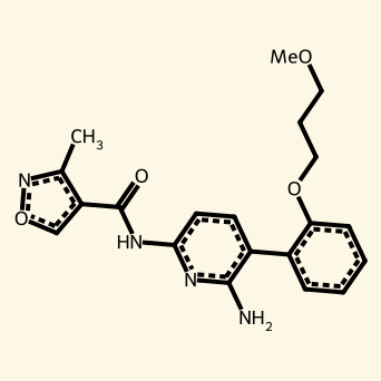 COCCCOc1ccccc1-c1ccc(NC(=O)c2conc2C)nc1N